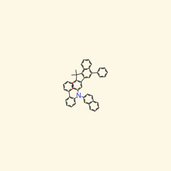 CC1(C)c2ccc(N(c3ccc4ccccc4c3)c3ccccc3-c3ccccc3)cc2-c2cc(-c3ccccc3)c3ccccc3c21